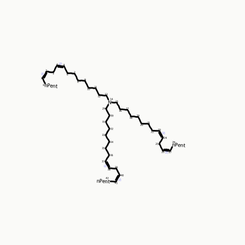 CCCCC/C=C\C/C=C\CCCCCCCCN(CCCCCCCC/C=C\C/C=C\CCCCC)CCCCCCCC/C=C\C/C=C\CCCCC